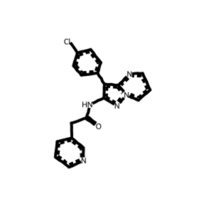 O=C(Cc1cccnc1)Nc1nn2cccnc2c1-c1ccc(Cl)cc1